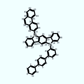 c1ccc(-c2ccc(-c3cccc(-n4c5ccccc5c5cc6c(cc54)c4ccccc4n6-c4ccc5c(ccc6ccccc65)c4)c3)cc2)cc1